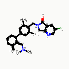 Bc1cc(-c2cccc(=C)/c2=C\N(C)C)cc(B)c1CN1Cc2ncc(Br)cc2C1=O